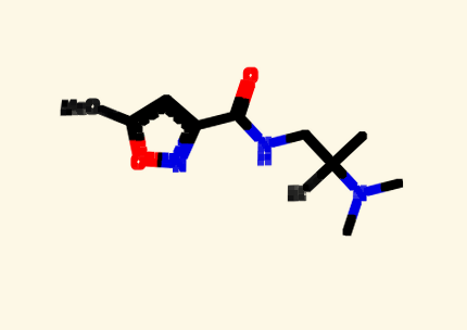 CCC(C)(CNC(=O)c1cc(OC)on1)N(C)C